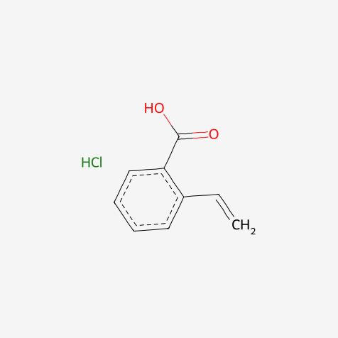 C=Cc1ccccc1C(=O)O.Cl